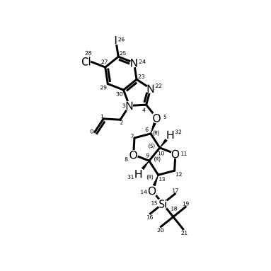 C=CCn1c(O[C@@H]2CO[C@@H]3[C@H]2OC[C@H]3O[Si](C)(C)C(C)(C)C)nc2nc(I)c(Cl)cc21